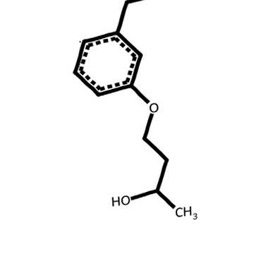 CC(O)CCOc1cc[c]c(CO)c1